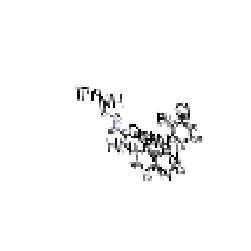 CC(C)NC/C=C/C(=O)Nc1ccc2ncnc(Nc3cccc(Cl)c3F)c2c1Cl